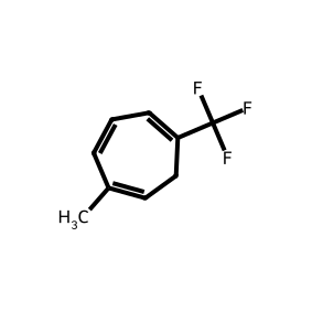 CC1=CCC(C(F)(F)F)=CC=C1